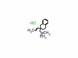 CC=CC1(CN(C)C)CCc2ccccc2C1.Cl